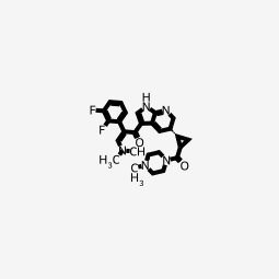 CN(C)/C=C(\C(=O)c1c[nH]c2c1=CC([C@@H]1CC1C(=O)N1CCN(C)CC1)CN=2)c1cccc(F)c1F